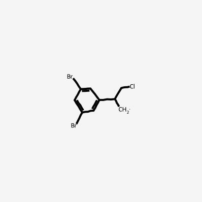 [CH2]C(CCl)c1cc(Br)cc(Br)c1